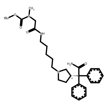 CN(CC(=O)NCCCCCN1CC[C@@H](C(C(N)=O)(c2ccccc2)c2ccccc2)C1)C(=O)OC(C)(C)C